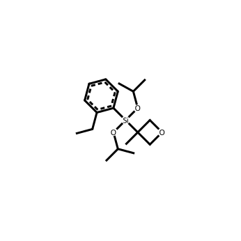 CCc1ccccc1[Si](OC(C)C)(OC(C)C)C1(C)COC1